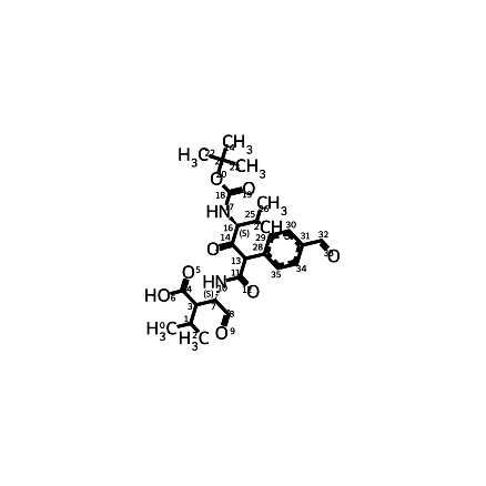 CC(C)C(C(=O)O)[C@@H]([C]=O)NC(=O)C(C(=O)[C@@H](NC(=O)OC(C)(C)C)C(C)C)c1ccc(C=O)cc1